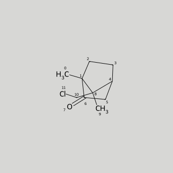 CC12CCC(CC1=O)C2(C)CCl